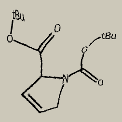 CC(C)(C)OC(=O)C1C=CCN1C(=O)OC(C)(C)C